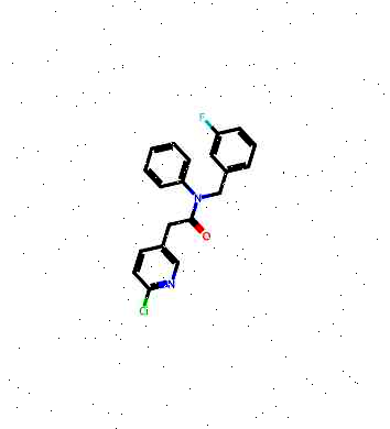 O=C(Cc1ccc(Cl)nc1)N(Cc1cccc(F)c1)c1ccccc1